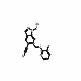 CCC#Cc1cc2cnn(C[C@@H](C)CC)c2cc1COc1ncccc1I